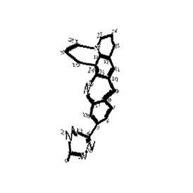 Cc1nnc(-c2ccc3cc4cc5c6c(c4nc3c2)CCCN6CCC5)nn1